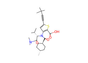 CC(C)[C@@H](C(=O)N(C)C)N(c1cc(C#CC(C)(C)C)sc1C(=O)O)C(=O)[C@H]1CC[C@H](C)CC1